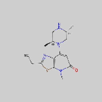 C[C@@H]1CN(c2cc(=O)n(C)c3sc(CC#N)nc23)[C@@H](C)CN1